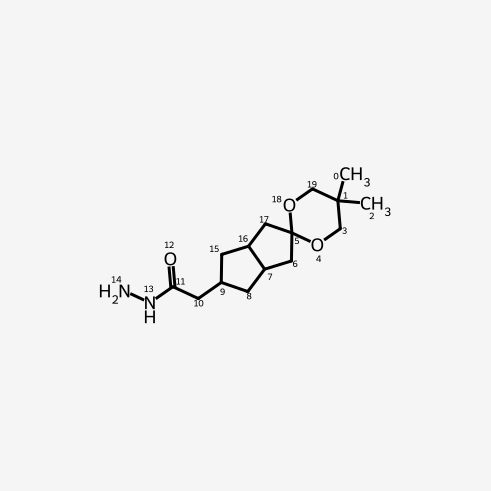 CC1(C)COC2(CC3CC(CC(=O)NN)CC3C2)OC1